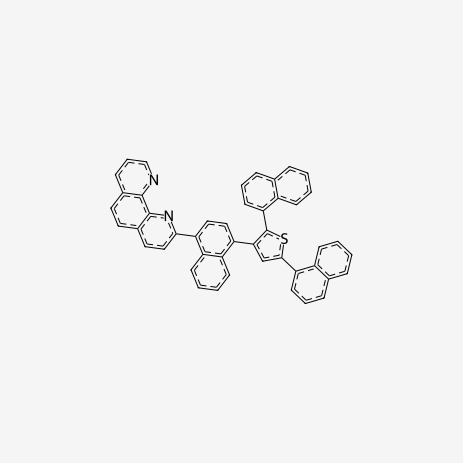 c1ccc2c(-c3cc(-c4ccc(-c5ccc6ccc7cccnc7c6n5)c5ccccc45)c(-c4cccc5ccccc45)s3)cccc2c1